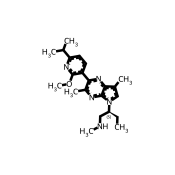 CC[C@@H](CNC)n1cc(C)c2nc(-c3ccc(C(C)C)nc3OC)c(C)nc21